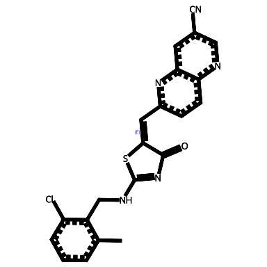 Cc1cccc(Cl)c1CNC1=NC(=O)/C(=C\c2ccc3ncc(C#N)cc3n2)S1